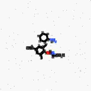 Cc1cc(C=O)cc(C)c1O.NC1CCCCC1.NCC(=O)O